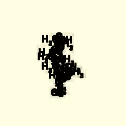 CC(C)C1=C2C3CCC4[C@@]5(C)CC[C@H](OC(=O)CC(C)(C)C(=O)O)C(C)(C)C5CC[C@@]4(C)[C@]3(C)CC[C@@]2(NC(=O)OCCN2CCCC2=O)CC1=O